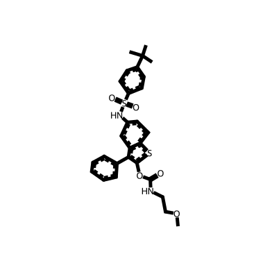 COCCNC(=O)Oc1sc2ccc(NS(=O)(=O)c3ccc(C(C)(C)C)cc3)cc2c1-c1ccccc1